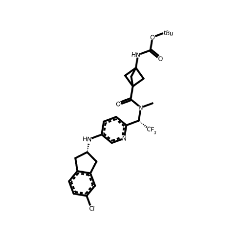 CN(C(=O)C12CC(NC(=O)OC(C)(C)C)(C1)C2)[C@@H](c1ccc(N[C@H]2Cc3ccc(Cl)cc3C2)cn1)C(F)(F)F